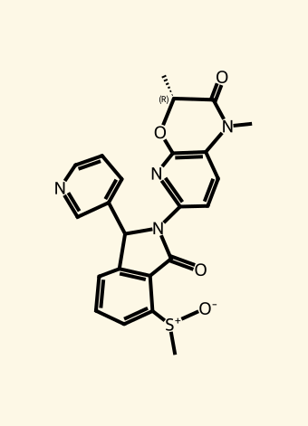 C[C@H]1Oc2nc(N3C(=O)c4c(cccc4[S+](C)[O-])C3c3cccnc3)ccc2N(C)C1=O